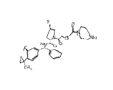 CC1(c2ccc([C@@H](NC(=O)[C@@H]3C[C@@H](F)CN3C(=O)COC(=O)N3CCNCC3)c3ccccc3)cc2F)CC1